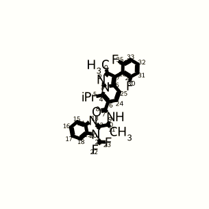 Cc1nn2c(C(C)C)c(C(=O)NC(C)c3nc4ccccc4n3C(F)F)ccc2c1-c1c(F)cccc1F